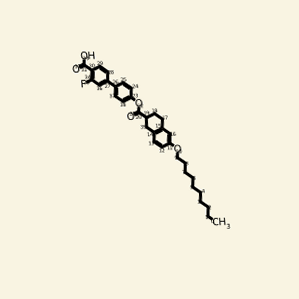 CCCCCCCCCCOc1ccc2c(c1)CCC(C(=O)Oc1ccc(-c3ccc(C(=O)O)c(F)c3)cc1)C2